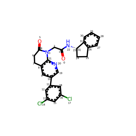 O=C(CN1C(=O)CCc2cc(-c3cc(Cl)cc(Cl)c3)cnc21)N[C@H]1CCc2ccccc21